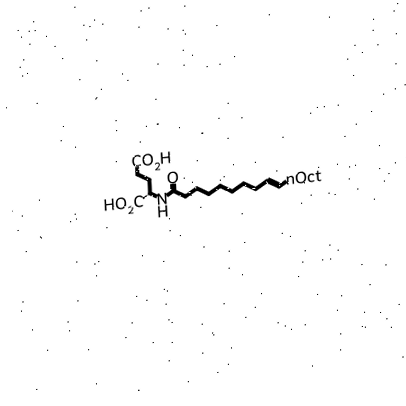 CCCCCCCCC=CCCCCCCCC(=O)N[C@@H](CCC(=O)O)C(=O)O